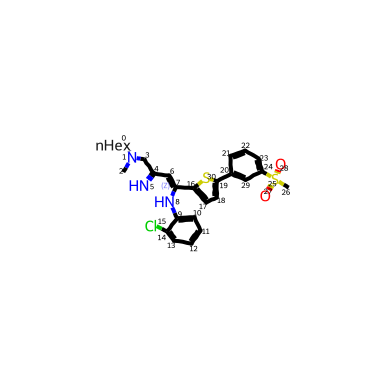 CCCCCCN(C)CC(=N)/C=C(\Nc1ccccc1Cl)c1ccc(-c2cccc(S(C)(=O)=O)c2)s1